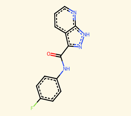 O=C(Nc1ccc(F)cc1)c1n[nH]c2ncccc12